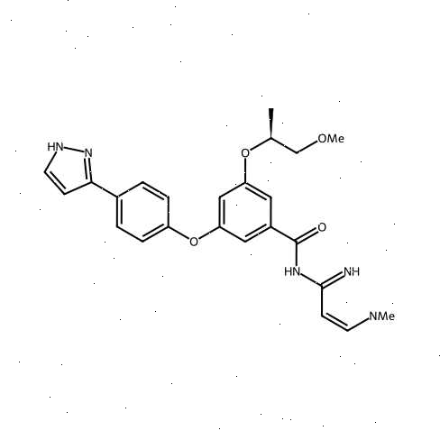 CN/C=C\C(=N)NC(=O)c1cc(Oc2ccc(-c3cc[nH]n3)cc2)cc(O[C@@H](C)COC)c1